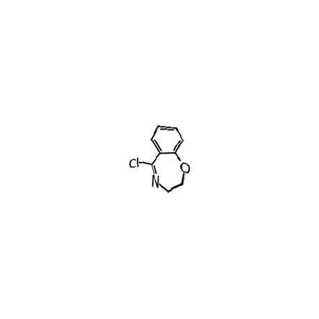 ClC1=NCCOc2ccccc21